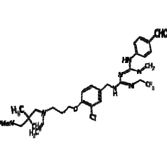 C=CN(CCCOc1ccc(CNC(/N=C(\N=C)Nc2ccc(C=O)cc2)=N/CC(F)(F)F)cc1Cl)CC(C)(C)CNC